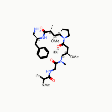 CC[C@H](C)[C@@H]([C@@H](CC(=O)N1CCC[C@H]1[C@H](OC)[C@@H](C)C(=O)N[C@H](CN)Cc1ccccc1)OC)N(C)C(=O)CNC(=O)C(NC)C(C)C